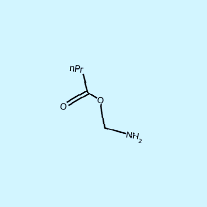 CCCC(=O)OCN